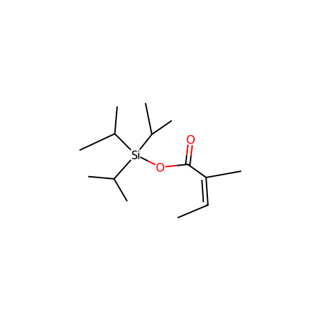 CC=C(C)C(=O)O[Si](C(C)C)(C(C)C)C(C)C